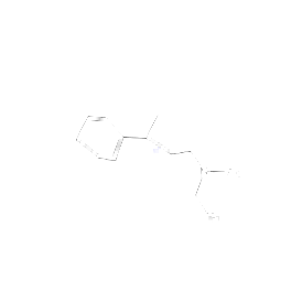 CC(=O)N(C/C=C(\C)c1ccccc1)CC(C)C